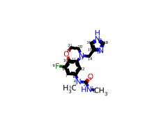 CNC(=O)N(C)c1cc(F)c2c(c1)N(Cc1c[nH]cn1)CCO2